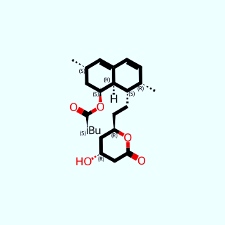 CC[C@H](C)C(=O)O[C@H]1C[C@H](C)C=C2C=C[C@H](C)[C@H](CC[C@@H]3C[C@@H](O)CC(=O)O3)[C@H]21